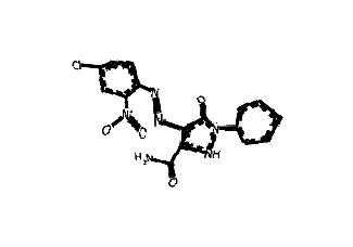 NC(=O)c1[nH]n(-c2ccccc2)c(=O)c1N=Nc1ccc(Cl)cc1[N+](=O)[O-]